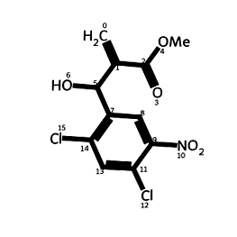 C=C(C(=O)OC)C(O)c1cc([N+](=O)[O-])c(Cl)cc1Cl